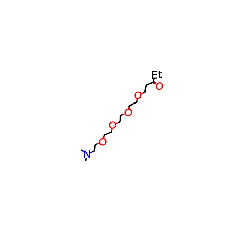 CCC(=O)CCOCCOCCOCCOCCN(C)C